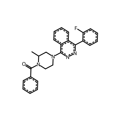 CC1CN(c2nnc(-c3ccccc3F)c3ccccc23)CCN1C(=O)c1ccccc1